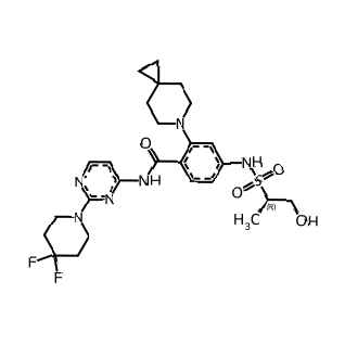 C[C@H](CO)S(=O)(=O)Nc1ccc(C(=O)Nc2ccnc(N3CCC(F)(F)CC3)n2)c(N2CCC3(CC2)CC3)c1